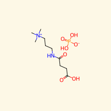 C[N+](C)(C)CCCNC(=O)CCC(=O)O.O=P([O-])(O)O